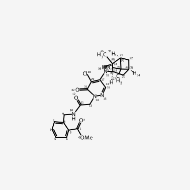 COC(=O)c1ccccc1CNC(=O)Cn1ncc(N[C@@H]2C[C@@H]3C[C@H]([C@H]2C)C3(C)C)c(Cl)c1=O